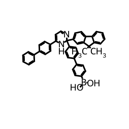 CC1(C)c2ccccc2-c2ccc(C3(c4ccc(-c5ccc(B(O)O)cc5)cc4)N=CC=C(c4ccc(-c5ccccc5)cc4)N3)cc21